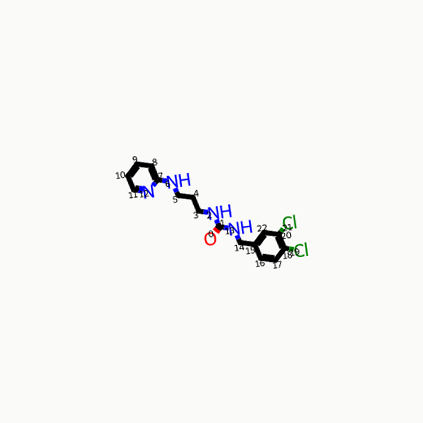 O=C(NCCCNc1ccccn1)NCc1ccc(Cl)c(Cl)c1